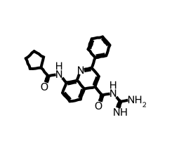 N=C(N)NC(=O)c1cc(-c2ccccc2)nc2c(NC(=O)C3CCCC3)cccc12